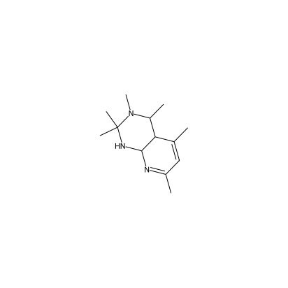 CC1=CC(C)=NC2NC(C)(C)N(C)C(C)C12